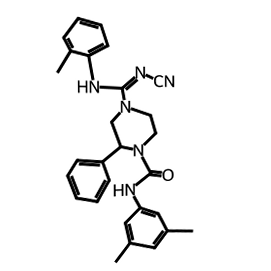 Cc1cc(C)cc(NC(=O)N2CCN(/C(=N\C#N)Nc3ccccc3C)CC2c2ccccc2)c1